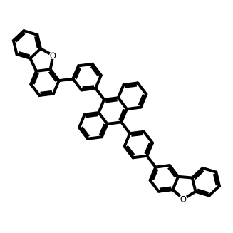 c1cc(-c2c3ccccc3c(-c3ccc(-c4ccc5oc6ccccc6c5c4)cc3)c3ccccc23)cc(-c2cccc3c2oc2ccccc23)c1